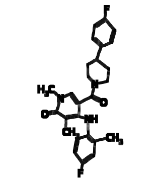 Cc1cc(F)ccc1Nc1c(C(=O)N2CCC(c3ccc(F)cc3)CC2)cn(C)c(=O)c1C